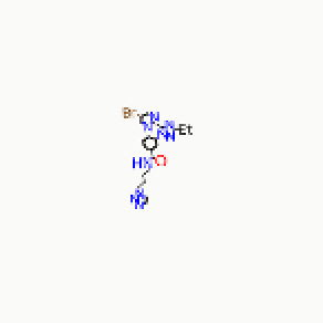 CCc1nc(-c2ncc(Br)cn2)n(-c2cccc(C(=O)NCCCCn3ccnn3)c2)n1